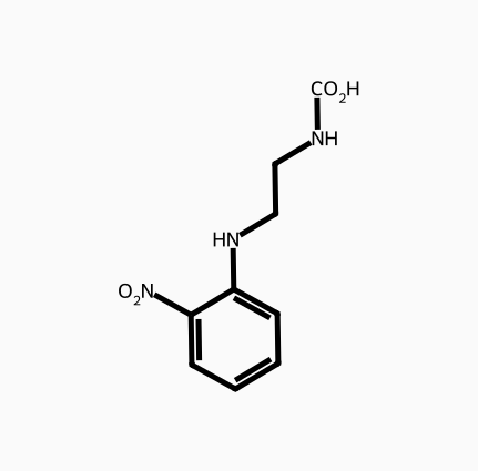 O=C(O)NCCNc1ccccc1[N+](=O)[O-]